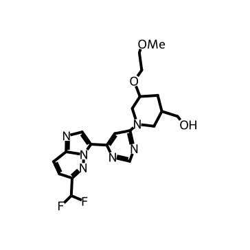 COCCOC1CC(CO)CN(c2cc(-c3cnc4ccc(C(F)F)nn34)ncn2)C1